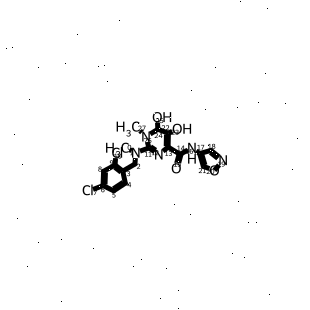 CN(Cc1ccc(Cl)cc1Cl)C1=NC(C(=O)Nc2cnoc2)=C(O)C(O)N1C